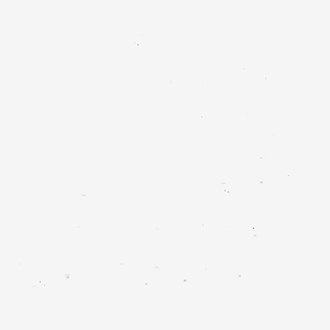 CC(CCCCCCC#N)(c1cccc(I)c1)c1cnc(-c2cc(Oc3c(F)cc4[nH]ccc4c3C=O)ccc2F)[nH]1